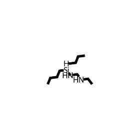 CCCC[SiH](CCCC)NCNCC